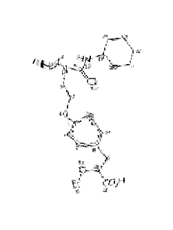 CCCCCCCN(CCOc1ccc(CC(OCC)C(=O)O)cc1)C(=O)NC1CCCCC1